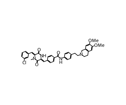 COc1cc2c(cc1OC)CN(CCc1ccc(NC(=O)c3ccc(/C=c4\[nH]c(=O)/c(=C/c5cccc(Cl)c5)n(C)c4=O)cc3)cc1)CC2